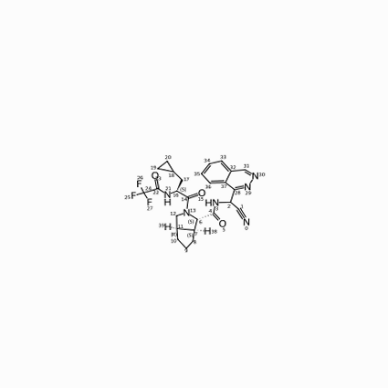 N#CC(NC(=O)[C@@H]1[C@H]2CCC[C@H]2CN1C(=O)[C@H](CC1CC1)NC(=O)C(F)(F)F)c1nncc2ccccc12